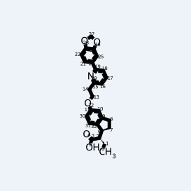 CC[C@H](C(=O)O)[C@@H]1CCc2cc(OCCc3cccc(-c4ccc5c(c4)OCO5)n3)ccc21